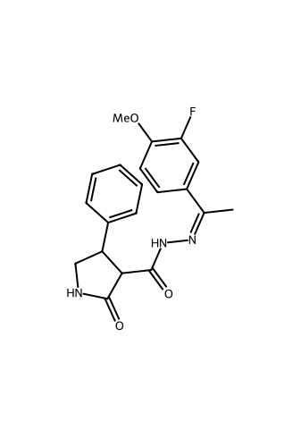 COc1ccc(/C(C)=N\NC(=O)C2C(=O)NCC2c2ccccc2)cc1F